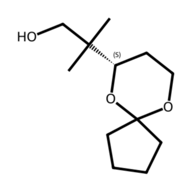 CC(C)(CO)[C@@H]1CCOC2(CCCC2)O1